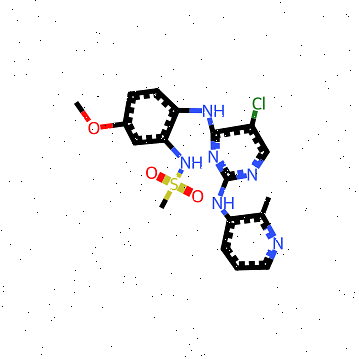 COc1ccc(Nc2nc(Nc3cccnc3C)ncc2Cl)c(NS(C)(=O)=O)c1